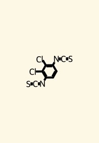 S=C=Nc1ccc(N=C=S)c(Cl)c1Cl